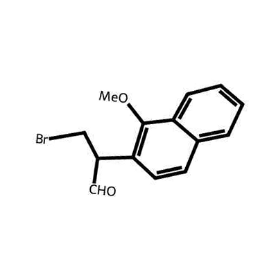 COc1c(C(C=O)CBr)ccc2ccccc12